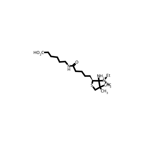 CCN(C(C)=O)C1(N)[C@H](CCCCC(=O)NCCCCCC(=O)O)SCC1(C)C